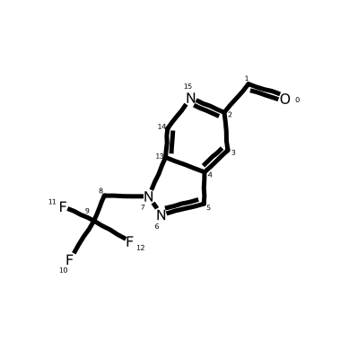 O=Cc1cc2cnn(CC(F)(F)F)c2cn1